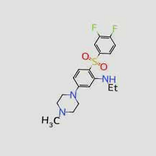 CCNc1cc(N2CCN(C)CC2)ccc1S(=O)(=O)c1ccc(F)c(F)c1